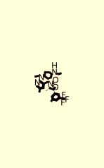 CCNC1CCC(N(CC)c2ncc(C)cc2CN2C(=O)O[C@H](c3cc(C)cc(C(F)(F)F)c3)[C@@H]2C)CC1